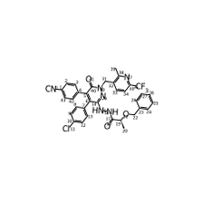 [C-]#[N+]c1ccc(-c2c(-c3ccc(Cl)cc3)c(NNC(=O)[C@H](C)OCc3ccccc3)nn(Cc3ccc(C(F)(F)F)nc3C)c2=O)cc1